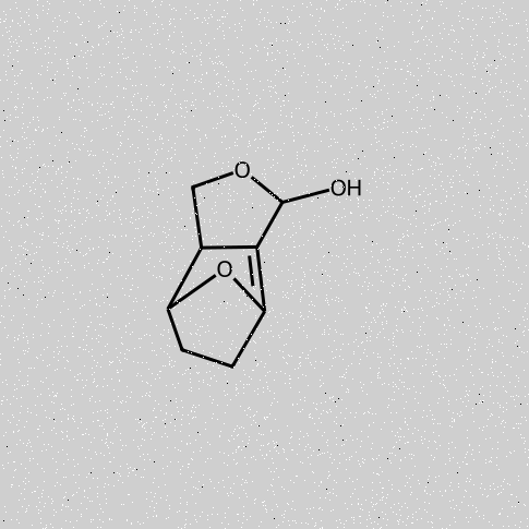 OC1OCC2C1=C1CCC2O1